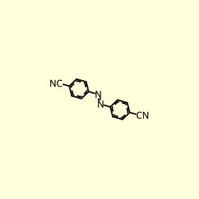 N#Cc1ccc(/N=N/c2ccc(C#N)cc2)cc1